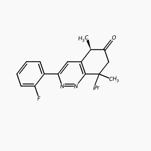 CC(C)C1(C)CC(=O)[C@H](C)c2cc(-c3ccccc3F)nnc21